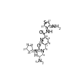 CN(C)CCN(Cc1ccc(C(=O)Nc2cscc2N)nc1)C(=O)NC1CCCC1